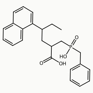 CCC(CC(CP(=O)(O)Cc1ccccc1)C(=O)O)c1cccc2ccccc12